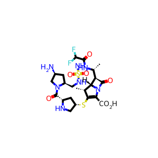 C[C@@H](NC(=O)C(F)F)[C@H]1C(=O)N2C(C(=O)O)=C(S[C@@H]3CN[C@H](C(=O)N4C[C@@H](N)C[C@H]4CNS(N)(=O)=O)C3)[C@H](C)[C@H]12